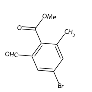 COC(=O)c1c(C)cc(Br)cc1C=O